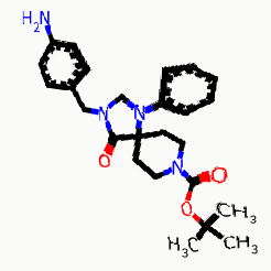 CC(C)(C)OC(=O)N1CCC2(CC1)C(=O)N(Cc1ccc(N)cc1)CN2c1ccccc1